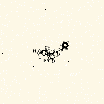 CC(C)(O)CC(C)(C)OC(=O)C(CC(=O)OCc1ccccc1)NC(=O)OC(C)(C)C